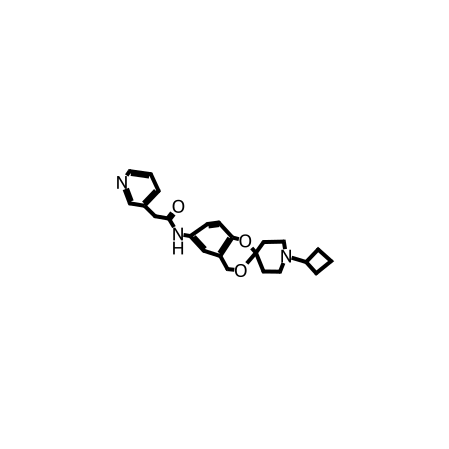 O=C(Cc1cccnc1)Nc1ccc2c(c1)COC1(CCN(C3CCC3)CC1)O2